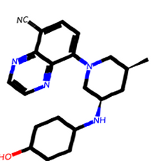 C[C@H]1C[C@@H](NC2CCC(O)CC2)CN(c2ccc(C#N)c3nccnc23)C1